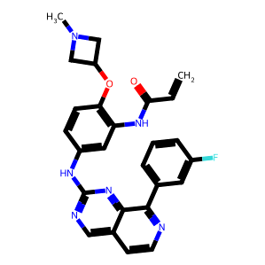 C=CC(=O)Nc1cc(Nc2ncc3ccnc(-c4cccc(F)c4)c3n2)ccc1OC1CN(C)C1